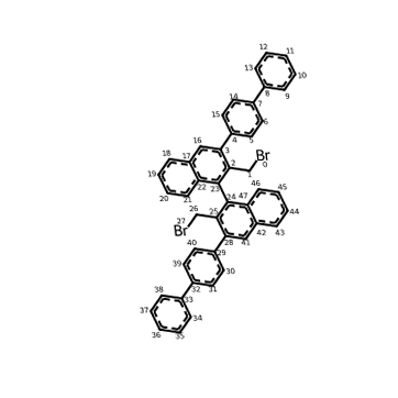 BrCc1c(-c2ccc(-c3ccccc3)cc2)cc2ccccc2c1-c1c(CBr)c(-c2ccc(-c3ccccc3)cc2)cc2ccccc12